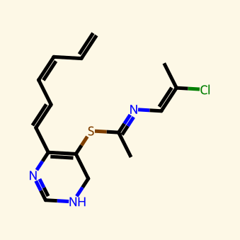 C=C/C=C\C=C\C1=C(S/C(C)=N/C=C(\C)Cl)CNC=N1